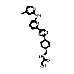 Cc1ccnc(Nc2cccc(-c3cnc([C@H]4CC[C@H](CNC(=O)CO)CC4)s3)n2)c1